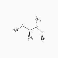 C[C@H](C=N)[C@@H](C)CN